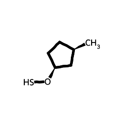 C[C@@H]1CC[C@H](OS)C1